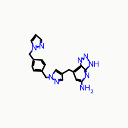 Nc1cc(Cc2cnn(Cc3ccc(Cn4cccn4)cc3)c2)c2nn[nH]c2n1